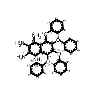 Nc1c(N)c(N)c2c(Oc3ccccc3)c(Oc3ccccc3)c(Oc3ccccc3)c(Oc3ccccc3)c2c1N